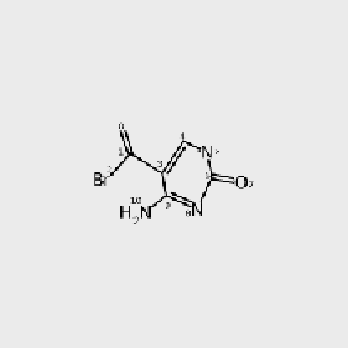 C=C(Br)C1=C[N]C(=O)N=C1N